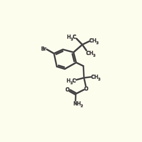 CC(C)(Cc1ccc(Br)cc1C(C)(C)C)OC(N)=O